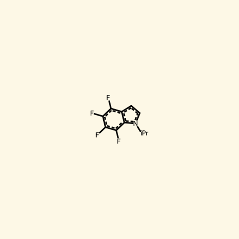 CC(C)n1ccc2c(F)c(F)c(F)c(F)c21